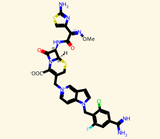 CO/N=C(\C(=O)N[C@@H]1C(=O)N2C(C(=O)[O-])=C(C[n+]3ccc4c(ccn4Cc4c(F)cc(C(=N)N)cc4Cl)c3)CS[C@H]12)c1csc(N)n1